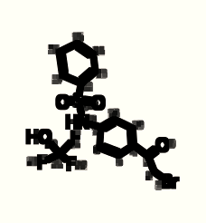 O=C(CBr)c1ccc(NS(=O)(=O)c2ccccc2)cc1.OC(F)(F)F